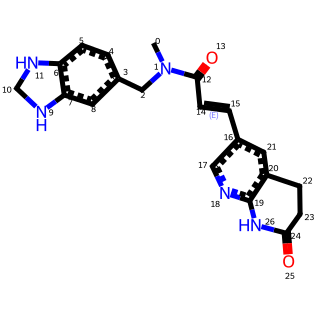 CN(Cc1ccc2c(c1)NCN2)C(=O)/C=C/c1cnc2c(c1)CCC(=O)N2